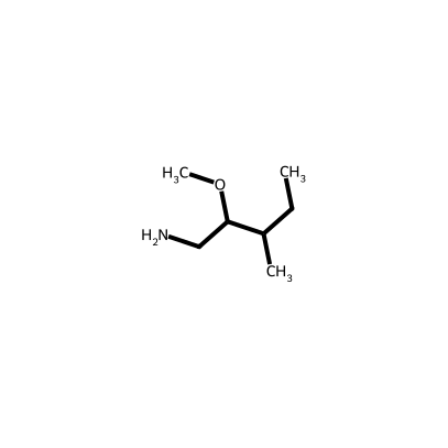 CCC(C)C(CN)OC